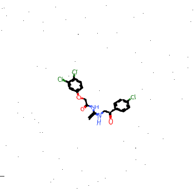 C=C(NCC(=O)c1ccc(Cl)cc1)NC(=O)COc1ccc(Cl)c(Cl)c1